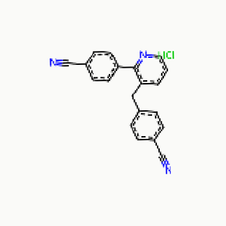 Cl.N#Cc1ccc(Cc2cccnc2-c2ccc(C#N)cc2)cc1